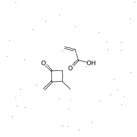 C=C1C(=O)CC1C.C=CC(=O)O